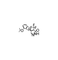 CC(C)Oc1cccc2c1CN(c1cn[nH]c(=O)c1C(F)(F)F)C2